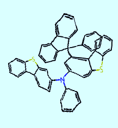 c1ccc(N(c2ccc3c(c2)sc2ccccc23)c2cc(C3(c4ccccc4)c4ccccc4-c4ccccc43)c3c(c2)sc2ccccc23)cc1